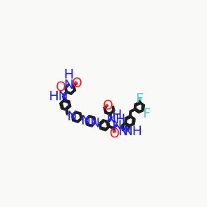 O=C1CCC(Nc2ccc(CN3CCC(N4CCN(c5ccc(C(=O)Nc6n[nH]c7ccc(Cc8cc(F)cc(F)c8)cc67)c(NC6CCOCC6)c5)CC4)CC3)cc2)C(=O)N1